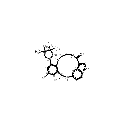 C[C@H]1Nc2ccn3ncc(c3n2)C(=O)NCCOc2c(B3OC(C)(C)C(C)(C)O3)cc(F)cc21